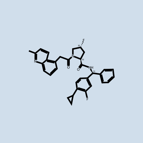 Cc1ccc2c(CC(=O)N3C[C@H](F)C[C@H]3C(=O)N[C@@H](c3ccccc3)c3ccc(C4CC4)c(F)c3)cccc2n1